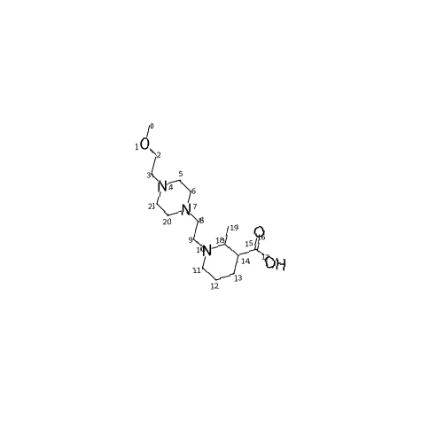 COCCN1CCN(CCN2CCCC(C(=O)O)C2C)CC1